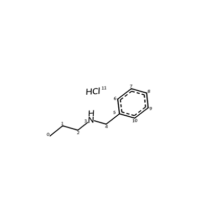 CCCNCc1ccccc1.Cl